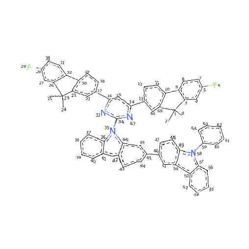 CC1(C)c2cc(F)ccc2-c2ccc(-c3cc(-c4ccc5c(c4)C(C)(C)c4cc(F)ccc4-5)nc(-n4c5ccccc5c5ccc(-c6ccc7c(c6)c6ccccc6n7-c6ccccc6)cc54)n3)cc21